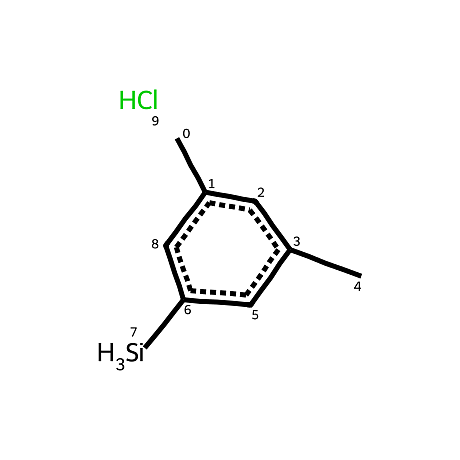 Cc1cc(C)cc([SiH3])c1.Cl